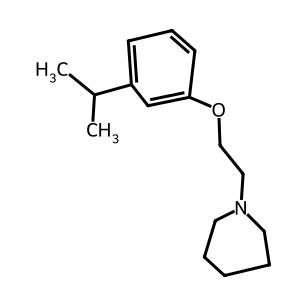 CC(C)c1cccc(OCCN2CCCCC2)c1